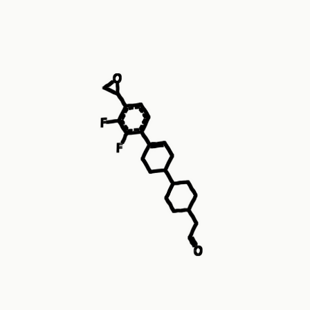 O=CCC1CCC(C2CC=C(c3ccc(C4CO4)c(F)c3F)CC2)CC1